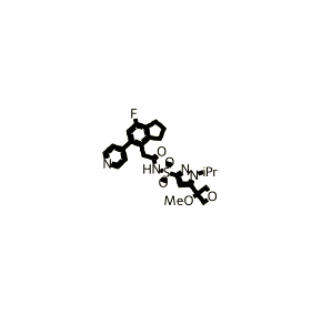 COC1(c2cc(S(=O)(=O)NC(=O)Cc3c(-c4ccncc4)cc(F)c4c3CCC4)nn2C(C)C)COC1